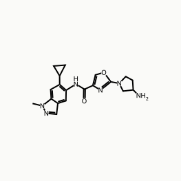 Cn1ncc2cc(NC(=O)c3coc(N4CCC(N)C4)n3)c(C3CC3)cc21